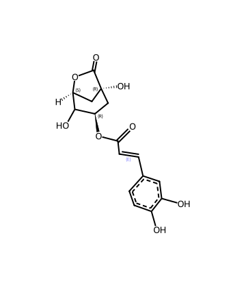 O=C(/C=C/c1ccc(O)c(O)c1)O[C@@H]1C[C@@]2(O)C[C@H](OC2=O)C1O